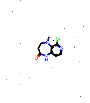 CN1CCC(=O)Nc2ccnc(Cl)c21